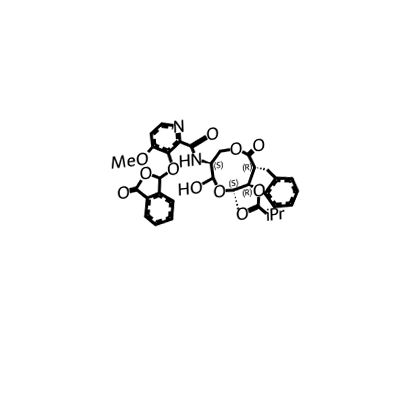 COc1ccnc(C(=O)N[C@H]2COC(=O)[C@H](Cc3ccccc3)[C@@H](OC(=O)C(C)C)[C@H](C)OC2O)c1OC1OC(=O)c2ccccc21